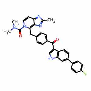 Cc1nc2ccn(C(=O)N(C)C)c(Cc3ccc(C(=O)c4c[nH]c5cc(-c6ccc(F)cc6)ccc45)cc3)c-2n1